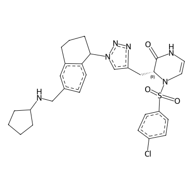 O=C1NC=CN(S(=O)(=O)c2ccc(Cl)cc2)[C@@H]1Cc1cn(C2CCCc3cc(CNC4CCCC4)ccc32)nn1